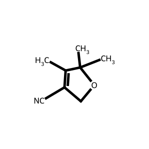 CC1=C(C#N)COC1(C)C